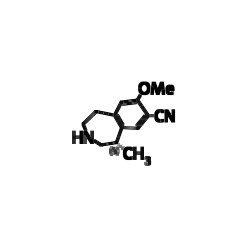 COc1cc2c(cc1C#N)[C@H](C)CNCC2